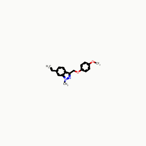 C=Cc1ccc2c(COc3ccc(OC(F)(F)F)cc3)nn(C)c2c1